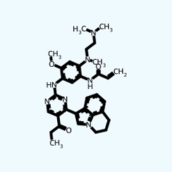 C=CC(=O)Nc1cc(Nc2ncc(C(=O)CC)c(-c3cn4c5c(cccc35)CCC4)n2)c(OC)cc1N(C)CCN(C)C